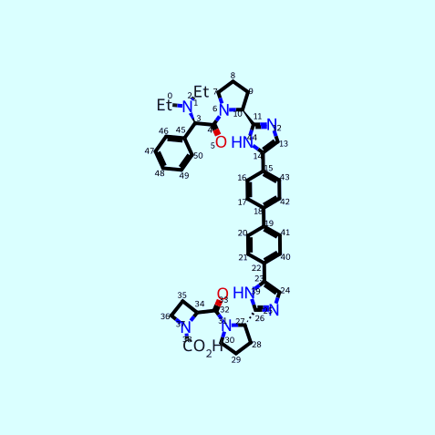 CCN(CC)[C@@H](C(=O)N1CCC[C@H]1c1ncc(-c2ccc(-c3ccc(-c4cnc([C@@H]5CCCN5C(=O)C5CCN5C(=O)O)[nH]4)cc3)cc2)[nH]1)c1ccccc1